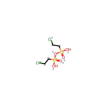 O=P(O)(CCCl)OP(=O)(O)CCCl